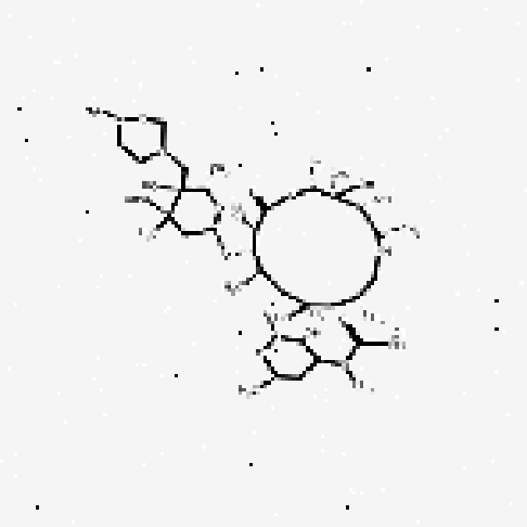 CCNC(=O)N(C)[C@H]1C[C@@H](C)O[C@@H](O[C@@H]2[C@@H](C)[C@H](O[C@H]3C[C@@](C)(OC)[C@](O)(CN4CCN(C)CC4)[C@H](C)O3)[C@@H](C)C(=O)O[C@H](CC)[C@@](C)(O)[C@H](O)[C@@H](C)NC[C@H](C)C[C@@]2(C)O)[C@@H]1O